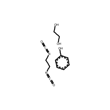 O=C=NCCN=C=O.OCCO.Oc1ccccc1